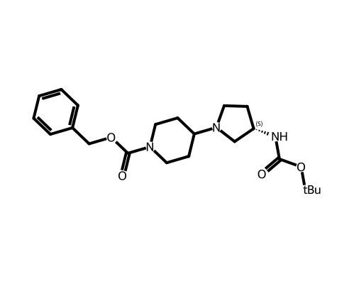 CC(C)(C)OC(=O)N[C@H]1CCN(C2CCN(C(=O)OCc3ccccc3)CC2)C1